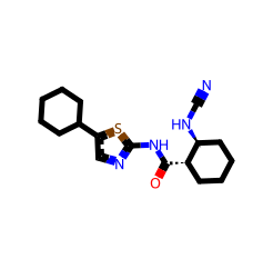 N#CN[C@H]1CCCC[C@@H]1C(=O)Nc1ncc(C2CCCCC2)s1